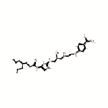 CCCC(CCC)CCC(=O)Nc1cnc(OCC(O)CNCCOc2ccc(C(N)=O)cc2)s1